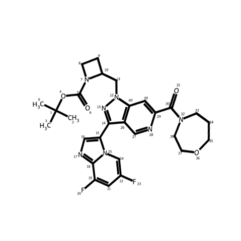 CC(C)(C)OC(=O)N1CCC1Cn1nc(-c2cnc3c(F)cc(F)cn23)c2cnc(C(=O)N3CCCOCC3)cc21